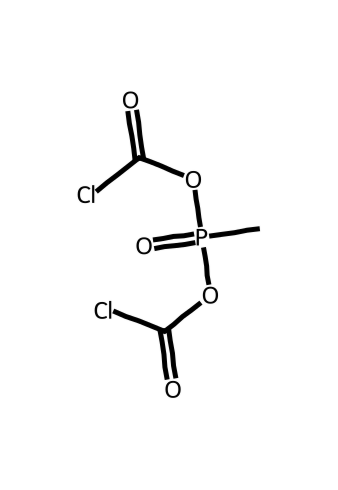 CP(=O)(OC(=O)Cl)OC(=O)Cl